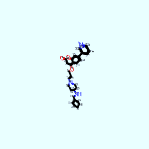 O=c1cc(OCCCN2CCC(NCc3ccccc3)CC2)c2ccc(-c3cccnc3)cc2o1